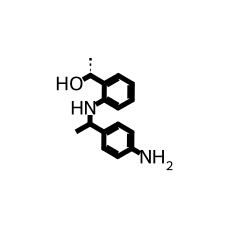 CC(Nc1ccccc1[C@@H](C)O)c1ccc(N)cc1